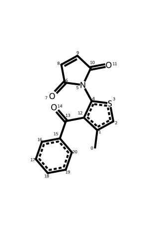 Cc1csc(N2C(=O)C=CC2=O)c1C(=O)c1ccccc1